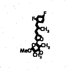 COc1oc([C@H]2C/C(=C/C(C)=C/c3ccc(F)cc3F)CO2)c(C)c(=O)c1C